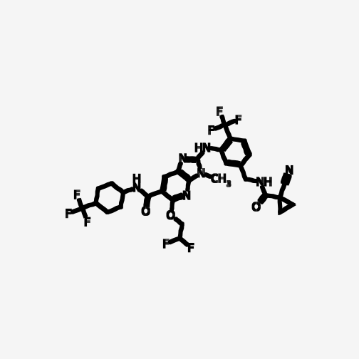 Cn1c(Nc2cc(CNC(=O)C3(C#N)CC3)ccc2C(F)(F)F)nc2cc(C(=O)NC3CCC(C(F)(F)F)CC3)c(OCC(F)F)nc21